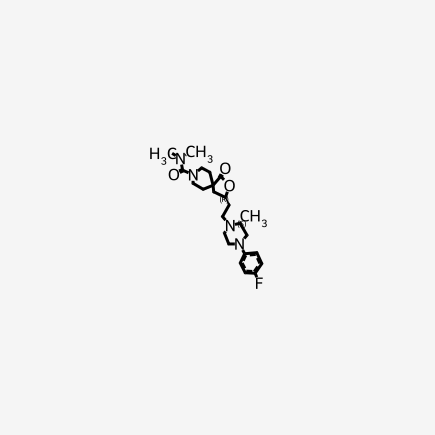 C[C@H]1CN(c2ccc(F)cc2)CCN1CC[C@H]1CC2(CCN(C(=O)N(C)C)CC2)C(=O)O1